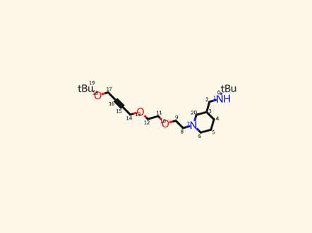 CC(C)(C)NCC1CCCN(CCOCCOCC#CCOC(C)(C)C)C1